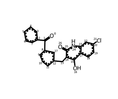 O=C(c1ccccc1)c1cccc(Cc2c(O)c3ccc(Cl)cc3[nH]c2=O)c1